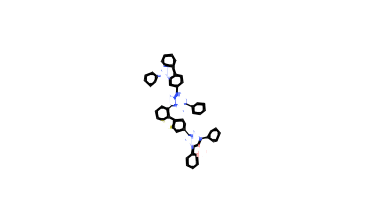 c1ccc(-c2nc(-c3ccc4c5ccccc5n(-c5ccccc5)c4c3)nc(-c3cccc4sc5cc(-c6nc(-c7ccccc7)c7oc8ccccc8c7n6)ccc5c34)n2)cc1